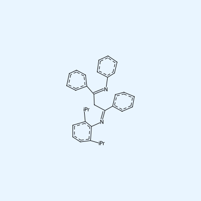 CC(C)c1cccc(C(C)C)c1N=C(CC(=Nc1ccccc1)c1ccccc1)c1ccccc1